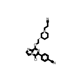 N#CCCN1CCC[C@H](CCOc2nc(-c3ccc(C#N)cc3)c(Cl)n3ccnc23)C1